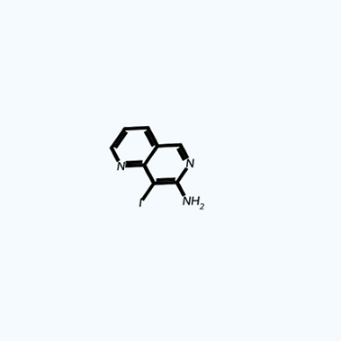 Nc1ncc2cccnc2c1I